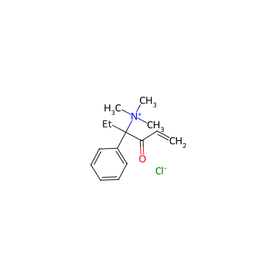 C=CC(=O)C(CC)(c1ccccc1)[N+](C)(C)C.[Cl-]